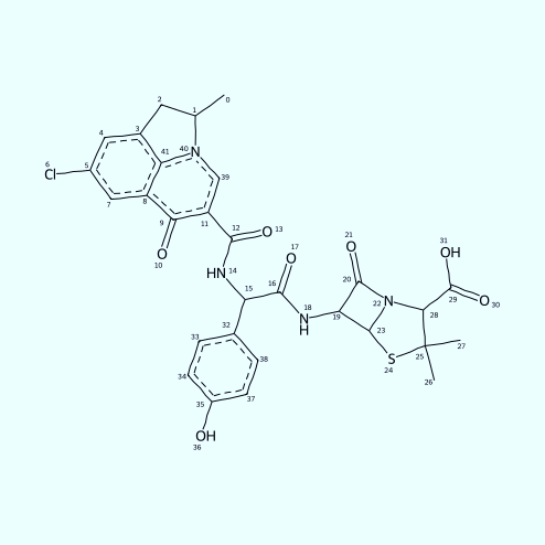 CC1Cc2cc(Cl)cc3c(=O)c(C(=O)NC(C(=O)NC4C(=O)N5C4SC(C)(C)C5C(=O)O)c4ccc(O)cc4)cn1c23